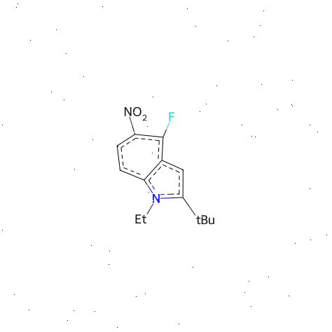 CCn1c(C(C)(C)C)cc2c(F)c([N+](=O)[O-])ccc21